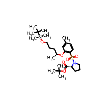 Cc1ccc(S(=O)(=O)N2CCC[C@H]2C(=O)OC(C)(C)C)c(O[C@H](C)CCCO[Si](C)(C)C(C)(C)C)c1